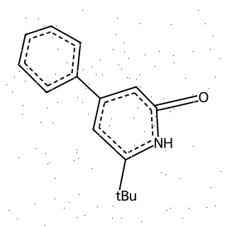 CC(C)(C)c1cc(-c2ccccc2)cc(=O)[nH]1